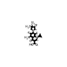 CC1(C)CN(c2c(F)c(N)c3c(=O)c(C(=O)O)cn(C4CC4)c3c2F)CC1=O